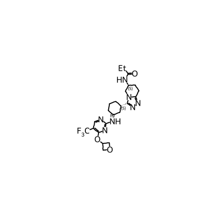 CCC(=O)N[C@H]1CCc2nnc([C@H]3CCC[C@@H](Nc4ncc(C(F)(F)F)c(OC5COC5)n4)C3)n2C1